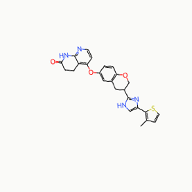 Cc1ccsc1-c1c[nH]c(C2COc3ccc(Oc4ccnc5c4CCC(=O)N5)cc3C2)n1